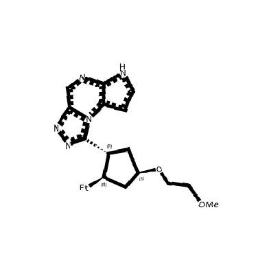 CC[C@@H]1C[C@H](OCCOC)C[C@H]1c1nnc2cnc3[nH]ccc3n12